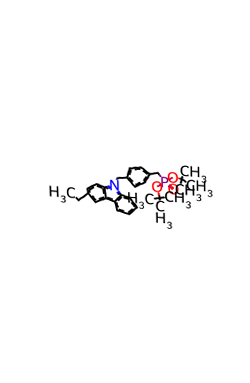 CCc1ccc2c(c1)c1ccccc1n2Cc1ccc(CP(=O)(OC(C)(C)C)OC(C)(C)C)cc1